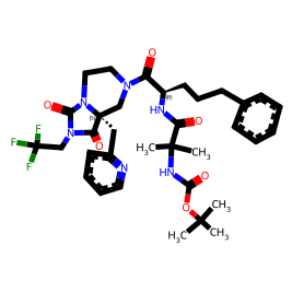 CC(C)(C)OC(=O)NC(C)(C)C(=O)N[C@H](CCCc1ccccc1)C(=O)N1CCN2C(=O)N(CC(F)(F)F)C(=O)[C@]2(Cc2ccccn2)C1